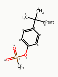 CCCCCC(C)(C)c1ccc(OS(=O)(=O)C(F)(F)F)cc1